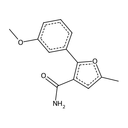 COc1cccc(-c2oc(C)cc2C(N)=O)c1